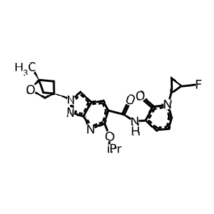 CC(C)Oc1nc2nn([C@]34CO[C@](C)(C3)C4)cc2cc1C(=O)Nc1cccn(C2CC2F)c1=O